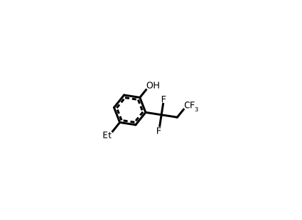 CCc1ccc(O)c(C(F)(F)CC(F)(F)F)c1